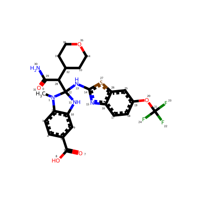 CN1c2ccc(C(=O)O)cc2NC1(Nc1nc2ccc(OC(F)(F)F)cc2s1)C(C(N)=O)C1CCOCC1